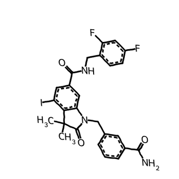 CC1(C)C(=O)N(Cc2cccc(C(N)=O)c2)c2cc(C(=O)NCc3ccc(F)cc3F)cc(I)c21